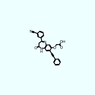 N#Cc1cccc(C2=Nc3cc(OCC(=O)O)c(C#Cc4ccccc4)cc3NC(=O)C2)c1